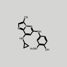 CC(=O)Nc1cc(Nc2cc(NC3CC3)c3ncc(C#N)n3n2)ccc1O